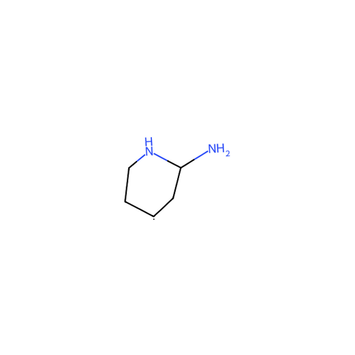 NC1C[CH]CCN1